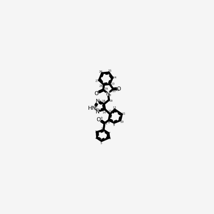 O=C(c1ccccc1)c1ccccc1-c1n[nH]nc1CN1C(=O)c2ccccc2C1=O